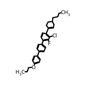 CCCCC1CC=C(c2ccc(-c3ccc(-c4ccc(OCCC)cc4)cc3)c(F)c2Cl)CC1